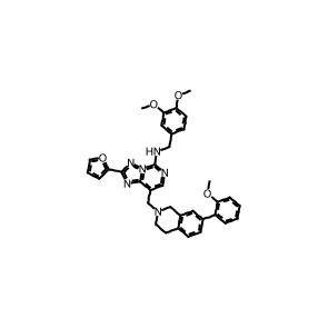 COc1ccc(CNc2ncc(CN3CCc4ccc(-c5ccccc5OC)cc4C3)c3nc(-c4ccco4)nn23)cc1OC